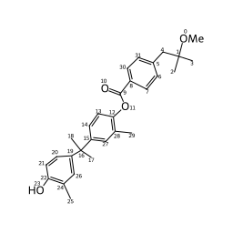 COC(C)(C)Cc1ccc(C(=O)Oc2ccc(C(C)(C)c3ccc(O)c(C)c3)cc2C)cc1